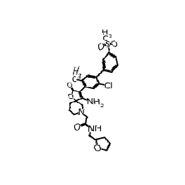 Cc1cc(-c2cccc(S(C)(=O)=O)c2)c(Cl)cc1C1=C(N)C2(CCCN(CC(=O)NCC3CCCO3)C2)OC1=O